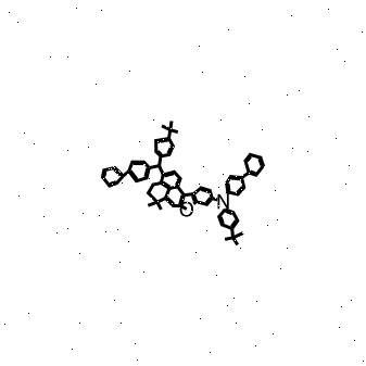 CC(C)(C)c1ccc(C(c2ccc(-c3ccccc3)cc2)c2ccc3c4c(cc5oc6cc(N(c7ccc(-c8ccccc8)cc7)c7ccc(C(C)(C)C)cc7)ccc6c53)C(C)(C)CCc24)cc1